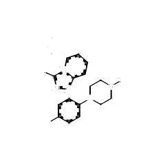 CCN1CCN(c2ccc(F)cc2)CC1.Cl.Cl.Cl.Sc1nnc2ccccn12